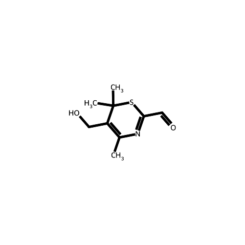 CC1=C(CO)C(C)(C)SC(C=O)=N1